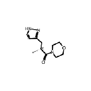 C[C@H](Cc1[c]c[nH]n1)C(=O)N1CCOCC1